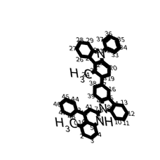 CC1CCCC2NC(N3C4CCCCC4C4CC(C5CC=C6C(C5C)C5CCCCC5N6c5ccccc5)CCC43)CC(C3C=CCCC3)C12